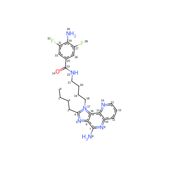 CCCCc1nc2c(N)nc3cccnc3c2n1CCCCNC(=O)c1cc(F)c(N)c(F)c1